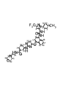 Cc1ccc(-n2nc(C(F)(F)F)cc2NC(=O)Nc2ccc(Oc3ccnc(Nc4cccc(C(=O)NCCN5CCOCC5)c4)n3)c3ccccc23)cc1